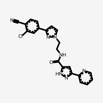 N#Cc1ccc(-c2ccn(CCNC(=O)c3cc(-c4ccccn4)n[nH]3)n2)cc1Cl